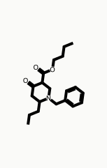 CCCCOC(=O)C1CN(Cc2ccccc2)C(CCC)CC1=O